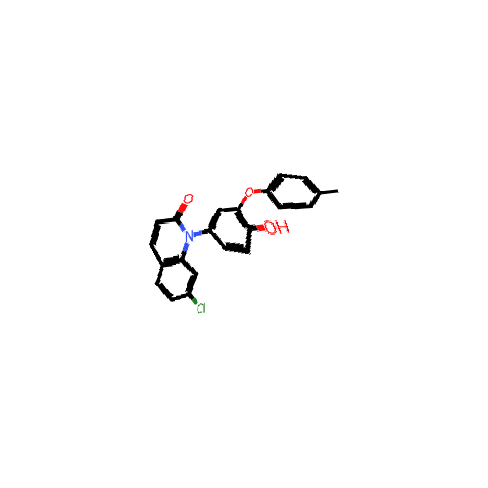 Cc1ccc(Oc2cc(-n3c(=O)ccc4ccc(Cl)cc43)ccc2O)cc1